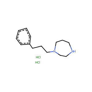 Cl.Cl.c1ccc(CCCN2CCCNCC2)cc1